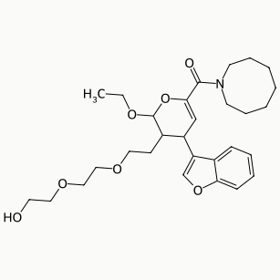 CCOC1OC(C(=O)N2CCCCCCC2)=CC(c2coc3ccccc23)C1CCOCCOCCO